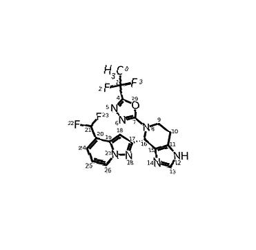 CC(F)(F)c1nnc(N2CCc3[nH]cnc3[C@@H]2c2cc3c(C(F)F)cccn3n2)o1